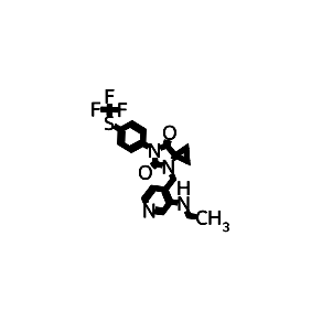 CCNc1cnccc1CN1C(=O)N(c2ccc(SC(F)(F)F)cc2)C(=O)C12CC2